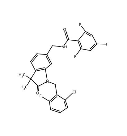 CC1(C)C(=O)N(Cc2c(F)cccc2Cl)c2cc(CNC(=O)c3c(F)cc(F)cc3F)ccc21